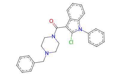 O=C(c1c(Cl)n(-c2ccccc2)c2ccccc12)N1CCN(Cc2ccccc2)CC1